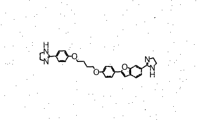 c1cc(C2=NCCN2)ccc1OCCCCOc1ccc(-c2cc3ccc(C4=NCCN4)cc3o2)cc1